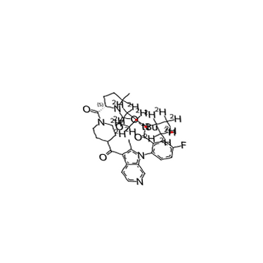 [2H]C([2H])([2H])C([2H])(N(C(=O)c1cc(F)ccc1-n1c(C)c(C(=O)C2CCN(C(=O)[C@@H]3CCC(C)(C)N3C(=O)OC(C)(C)C)CC2)c2ccncc21)C([2H])(C([2H])([2H])[2H])C([2H])([2H])[2H])C([2H])([2H])[2H]